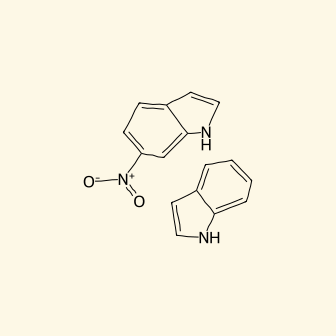 O=[N+]([O-])c1ccc2cc[nH]c2c1.c1ccc2[nH]ccc2c1